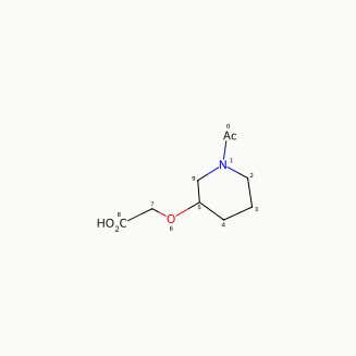 CC(=O)N1CCCC(OCC(=O)O)C1